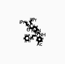 CC(=O)c1ccc(Nc2nc3ccc(C(=O)N(CCC(C)C)CCC(C)C)nc3n2CCCN2CCCCC2)cc1